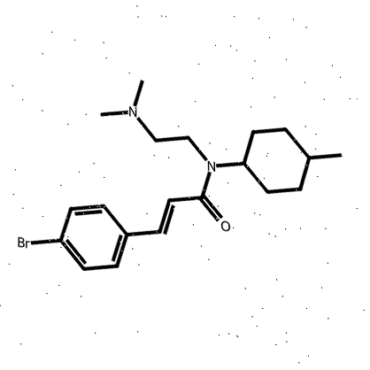 CC1CCC(N(CCN(C)C)C(=O)C=Cc2ccc(Br)cc2)CC1